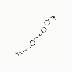 CCCCCCc1ccc(C=NN=Cc2ccc([C@H]3CC[C@H](CC)CC3)cc2)cc1